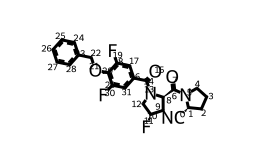 N#C[C@H]1CCCN1C(=O)[C@H]1C[C@H](F)CN1C(=O)c1cc(F)c(OCc2ccccc2)c(F)c1